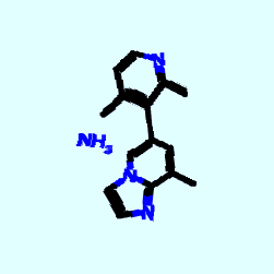 Cc1ccnc(C)c1-c1cc(C)c2nccn2c1.N